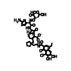 CCn1cc(C(=O)NCC[N+]2(CC3=C(C(=O)[O-])N4C(=O)[C@@H](NC(=O)/C(=N\O[C@@H](CC(=O)O)C(=O)O)c5csc(N)n5)[C@H]4SC3)CCCC2)c(=O)c2c(Cl)c(O)c(O)cc21